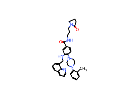 Cc1ccccc1N1CCN(c2ccc(C(=O)NCCCN3CCCC3=O)cc2NCc2cccc3cccnc23)CC1